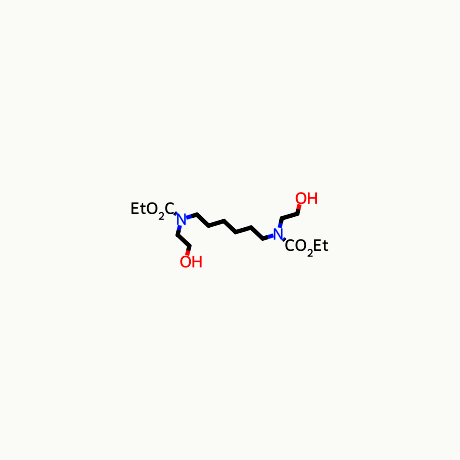 CCOC(=O)N(CCO)CCCCCCN(CCO)C(=O)OCC